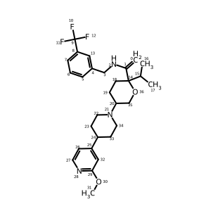 C=C(NCc1cccc(C(F)(F)F)c1)C1(C(C)C)CCC(N2CCC(c3ccnc(OC)c3)CC2)CO1